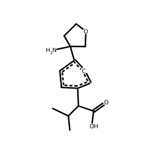 CC(C)C(C(=O)O)c1ccc(C2(N)CCOC2)cc1